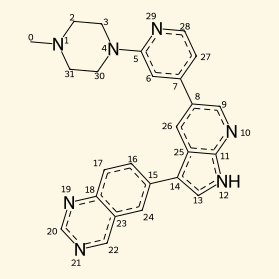 CN1CCN(c2cc(-c3cnc4[nH]cc(-c5ccc6ncncc6c5)c4c3)ccn2)CC1